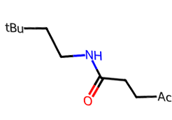 CC(=O)CCC(=O)NCCC(C)(C)C